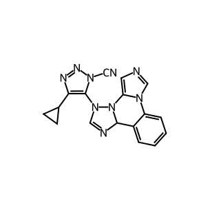 N#Cn1nnc(C2CC2)c1N1C=NC2c3ccccc3-n3cncc3N21